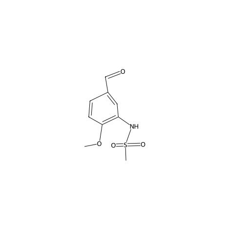 COc1ccc(C=O)cc1NS(C)(=O)=O